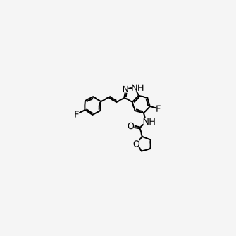 O=C(Nc1cc2c(/C=C/c3ccc(F)cc3)n[nH]c2cc1F)C1CCCO1